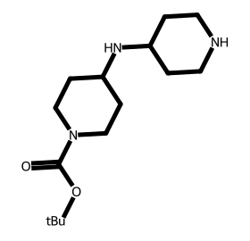 CC(C)(C)OC(=O)N1CCC(NC2CCNCC2)CC1